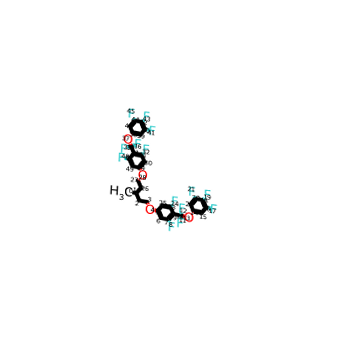 CC(CCOc1cc(F)c(C(F)(F)Oc2cc(F)c(F)c(F)c2)c(F)c1)CCOc1cc(F)c(C(F)(F)Oc2cc(F)c(F)c(F)c2)c(F)c1